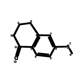 CSc1ccc2c(c1)CCCC2=O